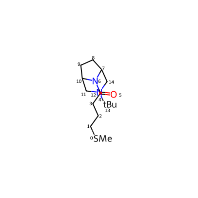 CSCCCC(=O)N1C2CCC1CN(C(C)(C)C)C2